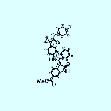 COC(=O)c1ccc2c(c1)NC(=O)C2=C(Nc1ccc(C2(C(=O)CN3CCN(C)CC3)CC2)cc1)c1ccccc1